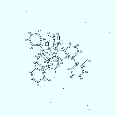 Cc1ccccc1-c1cccc2c1C=C(c1ccccc1)[CH]2[Hf]([Cl])([Cl])([CH]1C(c2ccccc2)=Cc2c(-c3ccccc3C)cccc21)[SiH](C)C